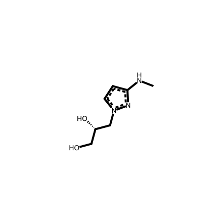 CNc1ccn(C[C@@H](O)CO)n1